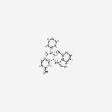 Nc1ncnc2nc[nH]c12.Oc1ccc2c(c1)CCC(c1ccccc1)O2